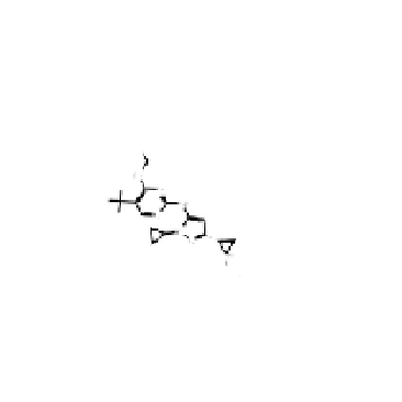 CCNc1nc(Nc2cc([C@H]3C[C@H]3C)nn2C2CC2)ncc1C(F)(F)F